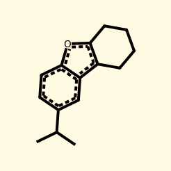 CC(C)c1ccc2oc3c(c2c1)CCCC3